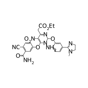 CCOC(=O)CC1=NC(Oc2cccc(C3=NCCN3C)c2)N(N)C(Oc2ccc(C#N)c(C(N)=O)c2)=C1[N+](=O)[O-]